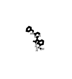 Cc1[nH]c2c(B(O)O)cccc2c1-c1nccc(NCc2ccccc2)n1